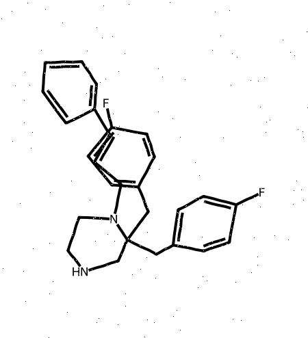 Fc1ccc(CC2(Cc3ccc(F)cc3)CNCCN2CC=Cc2ccccc2)cc1